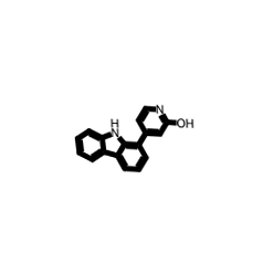 Oc1cc(-c2cccc3c2[nH]c2ccccc23)ccn1